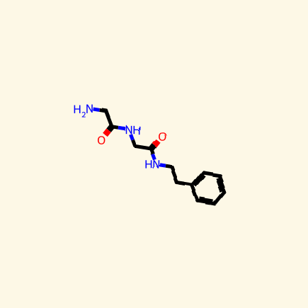 NCC(=O)NCC(=O)NCCc1ccccc1